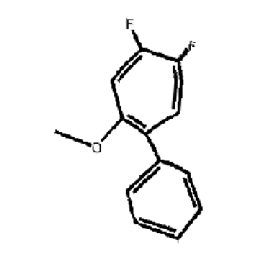 COc1cc(F)c(F)cc1-c1cc[c]cc1